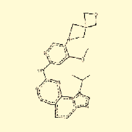 COc1cc(Nc2ncc3ccc4ncn(C(C)C)c4c3n2)ncc1N1CC2(COC2)C1